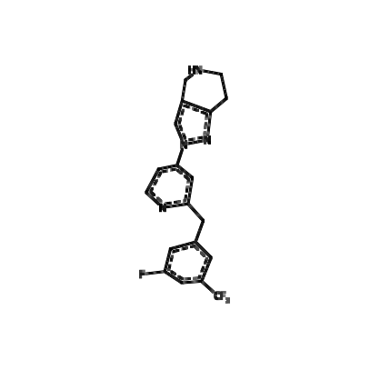 Fc1cc(Cc2cc(-n3cc4c(n3)CCNC4)ccn2)cc(C(F)(F)F)c1